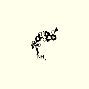 CC(C)N(CCCCN)S(=O)(=O)c1ccc(Cl)c(COC2(c3cnccc3-c3ccccc3OC3CC3)CC2)c1